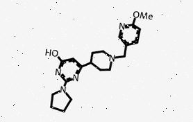 COc1ccc(CN2CCC(c3cc(O)nc(N4CCCC4)n3)CC2)cn1